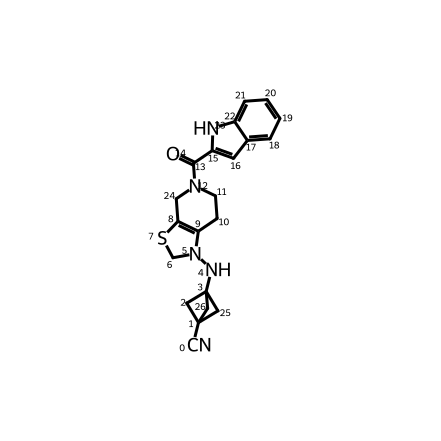 N#CC12CC(NN3CSC4=C3CCN(C(=O)c3cc5ccccc5[nH]3)C4)(C1)C2